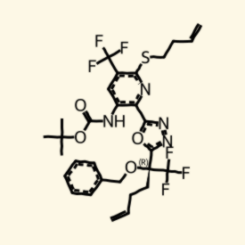 C=CCCSc1nc(-c2nnc([C@@](CCC=C)(OCc3ccccc3)C(F)(F)F)o2)c(NC(=O)OC(C)(C)C)cc1C(F)(F)F